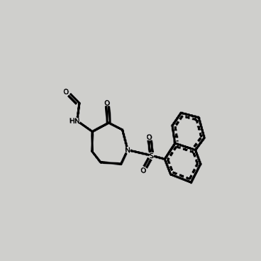 O=CNC1CCCN(S(=O)(=O)c2cccc3ccccc23)CC1=O